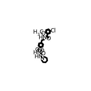 COc1ccc(Cl)cc1C(=O)NCCc1ccc(S(=O)(=O)NC(=O)NN2CCCCCC2)cc1